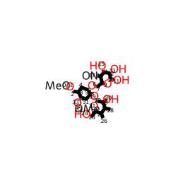 COOCC1CC(OCC2OC(O)C(O)C(O)C2N=O)C(OC2OC(CO)C(C)C(C)C2O)CC1OOC